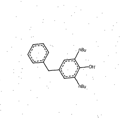 CCCCc1cc(Cc2ccccc2)cc(CCCC)c1O